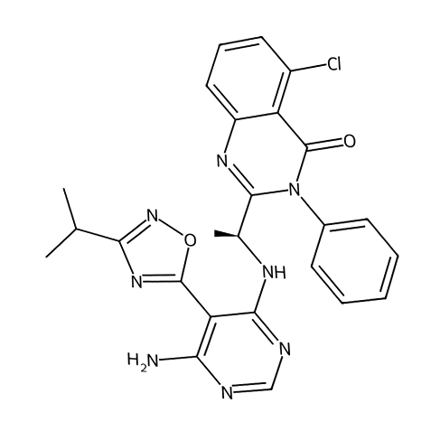 CC(C)c1noc(-c2c(N)ncnc2N[C@@H](C)c2nc3cccc(Cl)c3c(=O)n2-c2ccccc2)n1